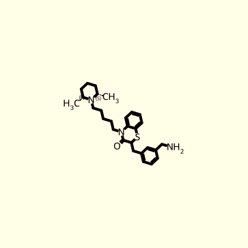 C[C@@H]1CCC[C@H](C)N1CCCCCN1C(=O)C(Cc2cccc(CN)c2)Sc2ccccc21